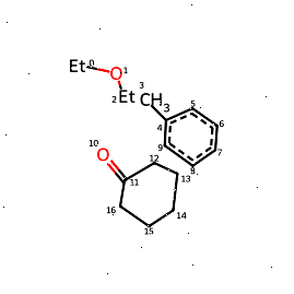 CCOCC.Cc1ccccc1.O=C1CCCCC1